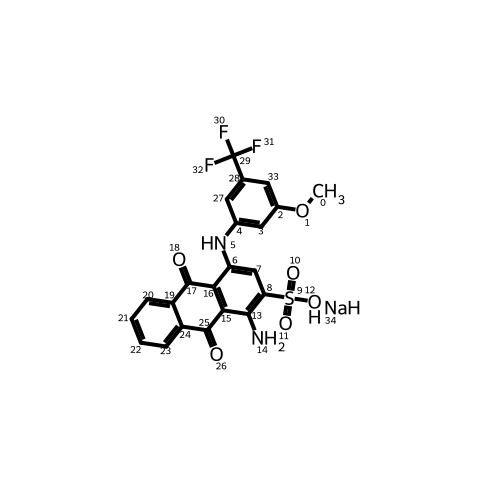 COc1cc(Nc2cc(S(=O)(=O)O)c(N)c3c2C(=O)c2ccccc2C3=O)cc(C(F)(F)F)c1.[NaH]